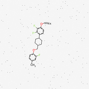 CCCCCCOc1ccc(C2CCC(COc3ccc(C)cc3F)CC2)c(F)c1F